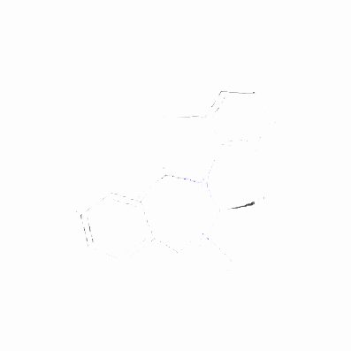 Cc1ccccc1N1Cc2ccccc2CN(C)[C@@H]1C